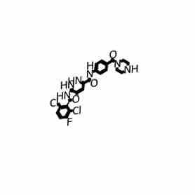 N=C(/C=C1/O[C@@H](c2c(Cl)ccc(F)c2Cl)NC1=N)C(=O)Nc1ccc(C(=O)N2CCNCC2)cc1